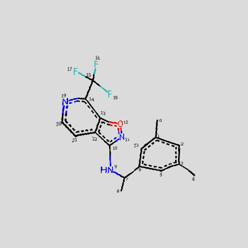 Cc1cc(C)cc(C(C)Nc2noc3c(C(F)(F)F)nccc23)c1